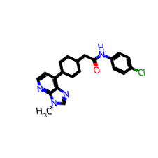 Cn1cnc2c(C3CCC(CC(=O)Nc4ccc(Cl)cc4)CC3)ccnc21